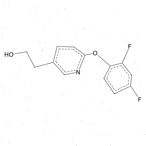 OCCc1ccc(Oc2ccc(F)cc2F)nc1